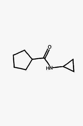 O=C(NC1CC1)C1CCCC1